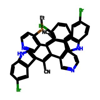 CCSc1ccncc1C(/C(=C(/C#N)c1c[nH]c2ccc(Br)cc12)c1cnccc1-c1cccc(Br)c1)=C(\C#N)c1c[nH]c2ccc(Br)cc12